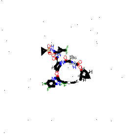 CC(C)(C)[C@@H]1NC(=O)O[C@@H]2C[C@@H]3C[C@@H]3[C@H]2CCCCC(F)(F)c2nc3cc(F)c(F)cc3nc2O[C@@H]2C[C@@H](C(=O)N[C@]3(C(=O)NS(=O)(=O)C4CC4)CC3C(F)F)N(C2)C1=O